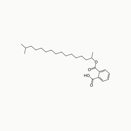 CC(C)CCCCCCCCCCCCC(C)OC(=O)c1ccccc1C(=O)O